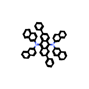 C1=Cc2cc(N(c3ccc4ccccc4c3)c3c4ccc(-c5ccccc5)cc4c(N(c4ccc5ccccc5c4)c4ccc5ccccc5c4)c4ccc(-c5ccccc5)cc34)ccc2CC1